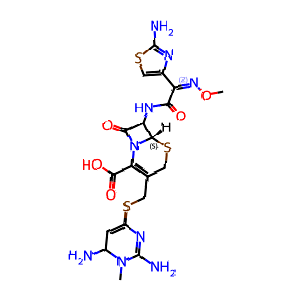 CO/N=C(\C(=O)NC1C(=O)N2C(C(=O)O)=C(CSC3=CC(N)N(C)C(N)=N3)CS[C@@H]12)c1csc(N)n1